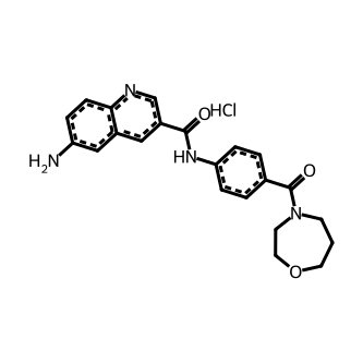 Cl.Nc1ccc2ncc(C(=O)Nc3ccc(C(=O)N4CCCOCC4)cc3)cc2c1